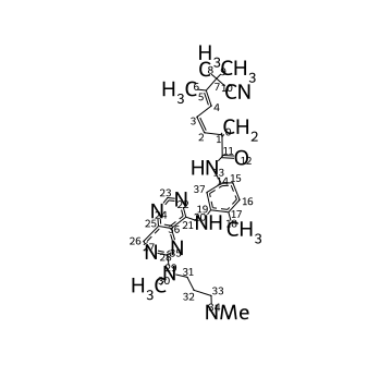 C=C(/C=C\C=C(/C)C(C)(C)C#N)C(=O)Nc1ccc(C)c(Nc2ncnc3cnc(N(C)CCCNC)nc23)c1